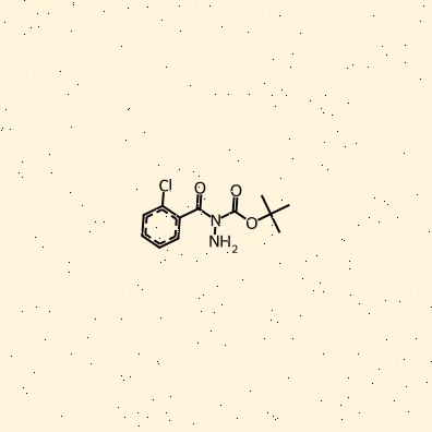 CC(C)(C)OC(=O)N(N)C(=O)c1ccccc1Cl